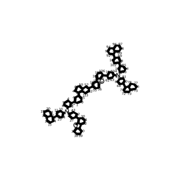 c1cc(-c2cccc(N(c3ccc(-c4cccc5ccccc45)cc3)c3ccc(-c4cccc5c4oc4ccccc45)cc3)c2)cc(-c2cccc3cc(-c4ccc5oc6c(-c7ccc(N(c8ccc(-c9cccc%10ccccc9%10)cc8)c8cccc(-c9ccc(-c%10cccc%11ccccc%10%11)cc9)c8)cc7)cccc6c5c4)ccc23)c1